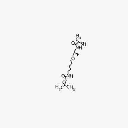 CC(C)OCC(=O)NCCCCCOCC(F)CNC(=O)C(C)S